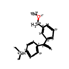 C=C(c1ccc([SiH](C)C)cc1)c1cccc([SiH2]OC(C)(C)C)c1